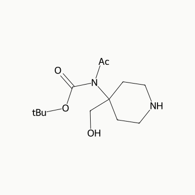 CC(=O)N(C(=O)OC(C)(C)C)C1(CO)CCNCC1